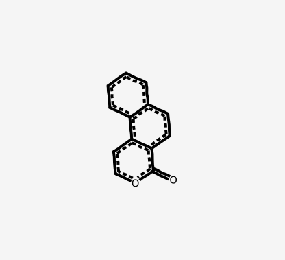 O=c1occc2c1ccc1ccccc12